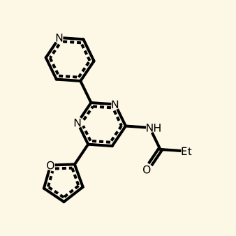 CCC(=O)Nc1cc(-c2ccco2)nc(-c2ccncc2)n1